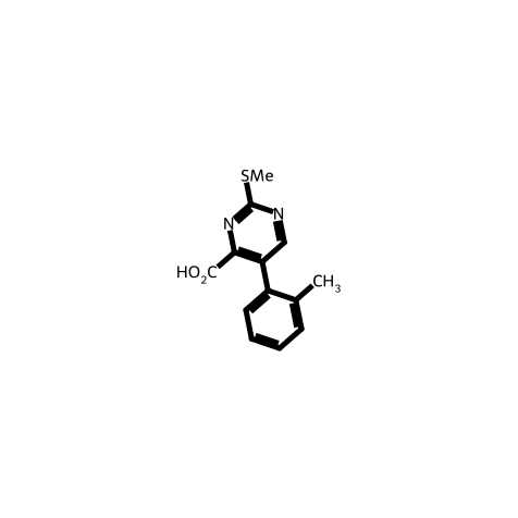 CSc1ncc(-c2ccccc2C)c(C(=O)O)n1